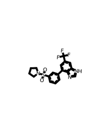 O=S(=O)(c1cccc(-c2cc(C(F)(F)F)cc3[nH]cnc23)c1)N1CCCC1